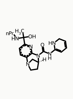 CCCNC(C)(O)c1ccc2c(n1)N(C(=O)NC1=CC=CCN1)[C@H]1CCN2C1